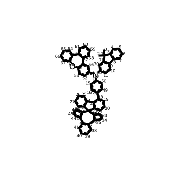 CC1(C)c2ccccc2-c2ccc(N(c3ccc(-c4cccc5c4-c4ccccc4C54c5ccccc5-c5ccccc5-c5ccccc54)cc3)c3ccc4c(c3)-c3ccccc3-c3ccccc3O4)cc21